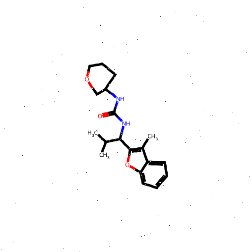 Cc1c(C(NC(=O)NC2CCCOC2)C(C)C)oc2ccccc12